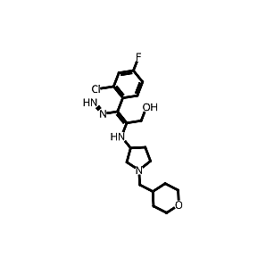 N=N/C(=C(/CO)NC1CCN(CC2CCOCC2)C1)c1ccc(F)cc1Cl